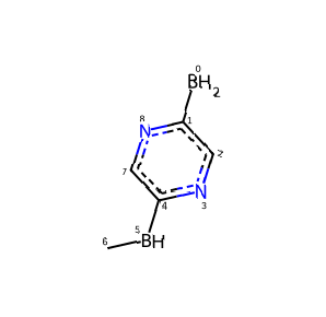 Bc1cnc(BC)cn1